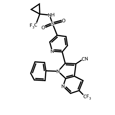 N#Cc1c(-c2ccc(S(=O)(=O)NC3(C(F)(F)F)CC3)cn2)n(-c2ccccc2)c2ncc(C(F)(F)F)cc12